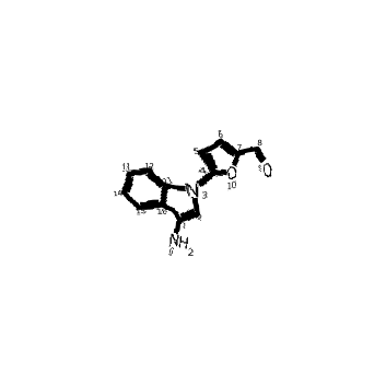 Nc1cn(-c2ccc(C=O)o2)c2ccccc12